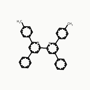 Cc1ccc(-c2cc(-c3ccccc3)cc(-c3cc(-c4ccccc4)cc(-c4ccc(C)cc4)n3)n2)cc1